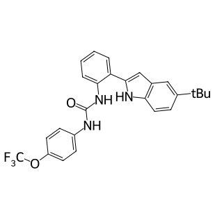 CC(C)(C)c1ccc2[nH]c(-c3ccccc3NC(=O)Nc3ccc(OC(F)(F)F)cc3)cc2c1